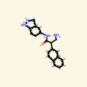 NCC(C(=O)Nc1ccc2[nH]ncc2c1)c1ccc2ccccc2c1